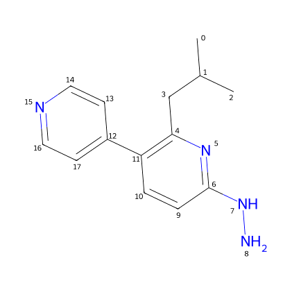 CC(C)Cc1nc(NN)ccc1-c1ccncc1